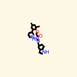 Cc1cc(C)c(OCC(=O)NN=Cc2ccc3[nH]ccc3c2)c(-c2cccnc2)c1